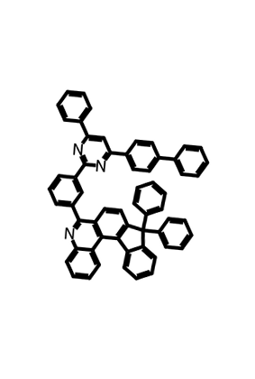 c1ccc(-c2ccc(-c3cc(-c4ccccc4)nc(-c4cccc(-c5nc6ccccc6c6c7c(ccc56)C(c5ccccc5)(c5ccccc5)c5ccccc5-7)c4)n3)cc2)cc1